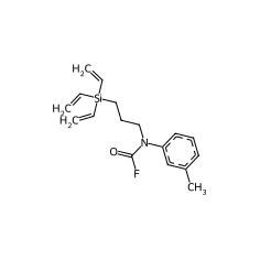 C=C[Si](C=C)(C=C)CCCN(C(=O)F)c1cccc(C)c1